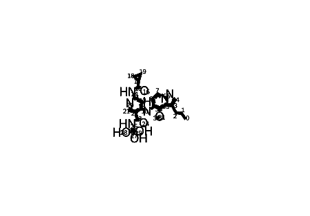 CCCc1cnn2ccc(Nc3cc(NC(=O)C4CC4)ncc3C(=O)NC(O)(O)O)c(OC)c12